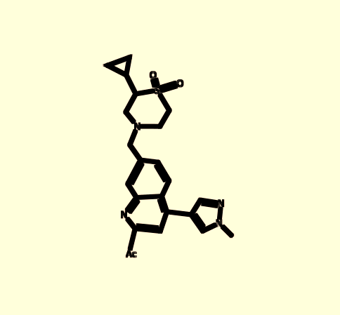 CC(=O)c1cc(-c2cnn(C)c2)c2ccc(CN3CCS(=O)(=O)C(C4CC4)C3)cc2n1